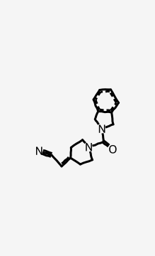 N#CC=C1CCN(C(=O)N2Cc3ccccc3C2)CC1